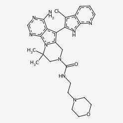 CC1(C)CN(C(=O)NCCN2CCOCC2)Cc2c(-c3[nH]c4ncccc4c3Cl)c3c(N)ncnc3n21